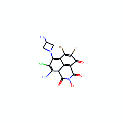 NC1=C(Cl)C(N2CC(N)C2)=C2C(Br)=C(Br)C(=O)C3=C2C1C(=O)N(O)C3=O